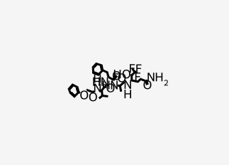 CC(NC(=O)C(Cc1ccccc1)NC(=O)C(NC(=O)COc1ccccc1)C(C)C)C(=O)NC(CCC(N)=O)C(O)C(F)(F)F